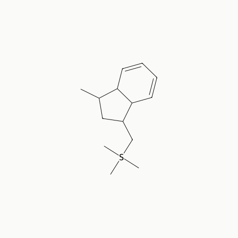 CC1CC(CS(C)(C)C)C2C=CC=CC12